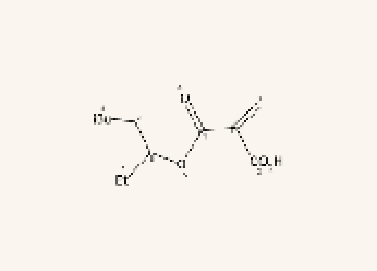 C=C(C(=O)O)C(=O)OC(CC)CC(C)CC